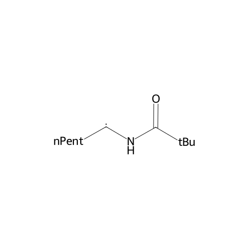 CCCCC[CH]NC(=O)C(C)(C)C